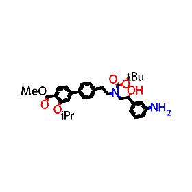 COC(=O)c1ccc(-c2ccc(CCN(C[C@H](O)c3cccc(N)c3)C(=O)OC(C)(C)C)cc2)cc1OC(C)C